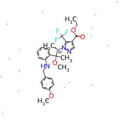 CCOC(=O)c1cnn([C@H](C)C(C)(OC)c2ccccc2NCc2ccc(OC)cc2)c1C(F)(F)F